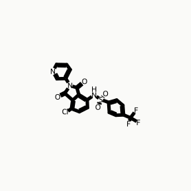 O=C1c2c(Cl)ccc(NS(=O)(=O)c3ccc(C(F)(F)F)cc3)c2C(=O)N1c1cccnc1